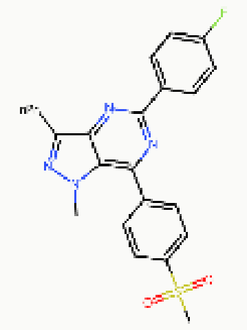 CCCc1nn(C)c2c(-c3ccc(S(C)(=O)=O)cc3)nc(-c3ccc(F)cc3)nc12